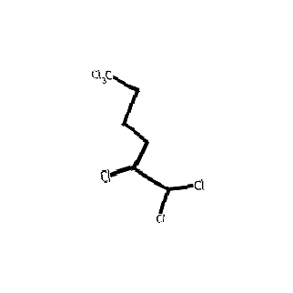 ClC(Cl)C(Cl)CCCC(Cl)(Cl)Cl